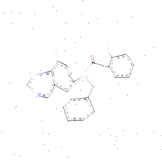 O=C(c1ccccc1F)N(Cc1ccccc1)c1ccc2ncncc2c1